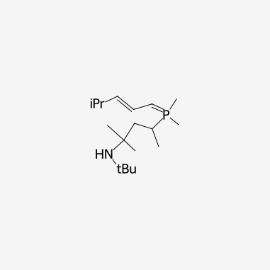 CC(C)/C=C/C=P(C)(C)C(C)CC(C)(C)NC(C)(C)C